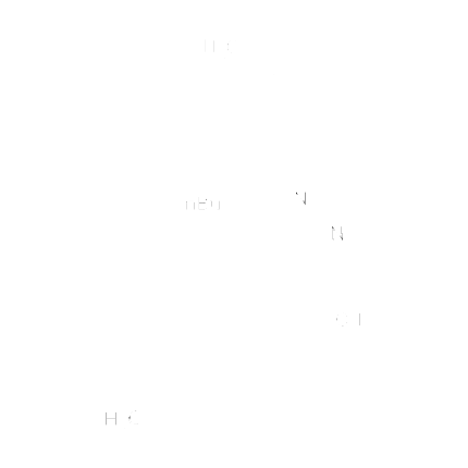 CCCCc1c(-c2ccc(C)cc2)c(O)nn1-c1cccc(C)c1